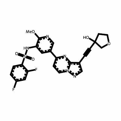 COc1ncc(-c2ccn3ncc(C#CC4(O)CCOC4)c3n2)cc1NS(=O)(=O)c1ccc(F)cc1F